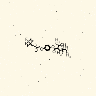 CCC(C)(C)CC(C(=O)Oc1ccc(OCC(=O)OCC(F)(F)C(F)(F)F)cc1)C(C)C